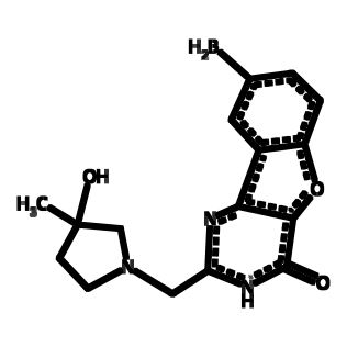 Bc1ccc2oc3c(=O)[nH]c(CN4CCC(C)(O)C4)nc3c2c1